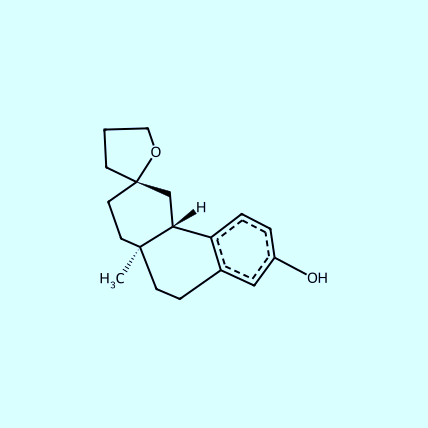 C[C@@]12CCc3cc(O)ccc3[C@H]1C[C@]1(CCCO1)CC2